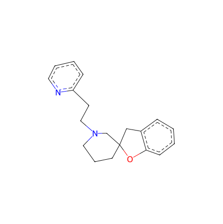 c1ccc(CCN2CCCC3(Cc4ccccc4O3)C2)nc1